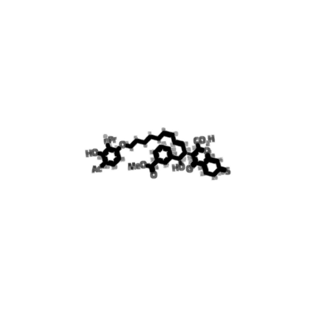 CCCc1c(OCCCCC/C=C\C=C\[C@@H](c2c(C(=O)O)oc3c(c2=O)=CCC(=S)C=3)[C@@H](O)c2cccc(C(=O)OC)c2)ccc(C(C)=O)c1O